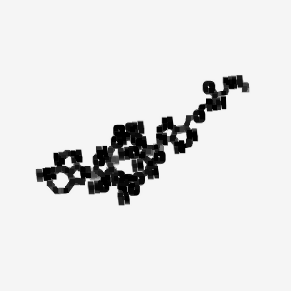 NCC(=O)NCOCc1ncnc2c1ncn2[C@@H]1O[C@@H]2COP(=O)(S)O[C@H]3[C@@H](O)[C@H](n4cc5c6c(ncnc64)NCCC5)O[C@@H]3COP(=O)(S)O[C@@H]1[C@@H]2O